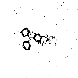 Cc1cc(OC(C)(C)C)ccc1[S+](c1ccccc1)c1ccccc1